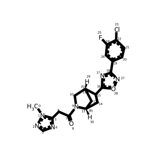 Cn1ncnc1CC(=O)N1C[C@H]2C[C@@H]1CC2c1nc(-c2ccc(Cl)c(F)c2)no1